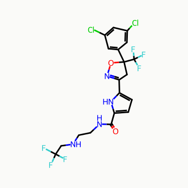 O=C(NCCNCC(F)(F)F)c1ccc(C2=NOC(c3cc(Cl)cc(Cl)c3)(C(F)(F)F)C2)[nH]1